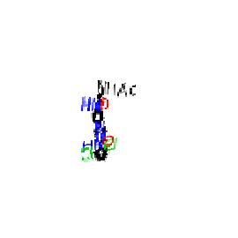 CC(=O)NCCC(=O)Nc1ccc(N2CCN(C(=O)Nc3c(Cl)cccc3Cl)CC2)cc1